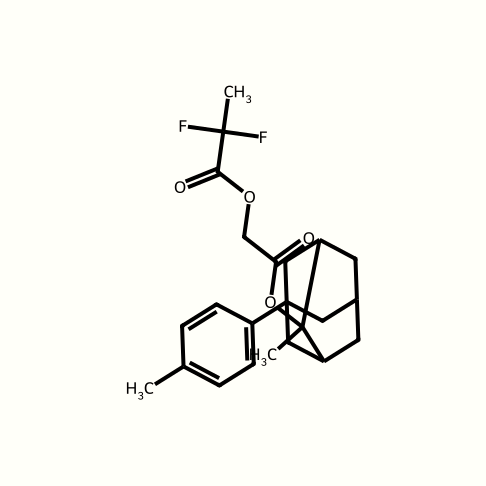 Cc1ccc(C23CC4CC(C2)C(C)(OC(=O)COC(=O)C(C)(F)F)C(C4)C3)cc1